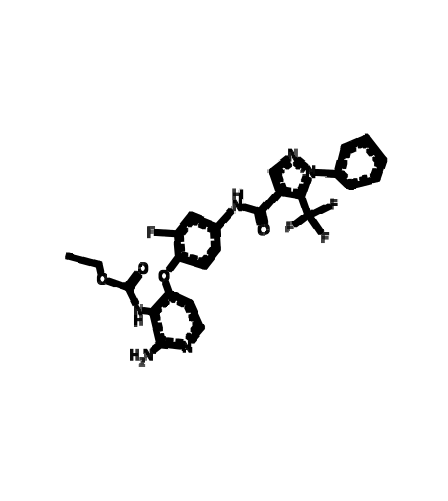 CCOC(=O)Nc1c(Oc2ccc(NC(=O)c3cnn(-c4ccccc4)c3C(F)(F)F)cc2F)ccnc1N